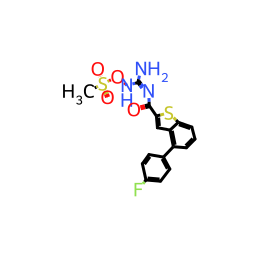 CS(=O)(=O)ONC(N)=NC(=O)c1cc2c(-c3ccc(F)cc3)cccc2s1